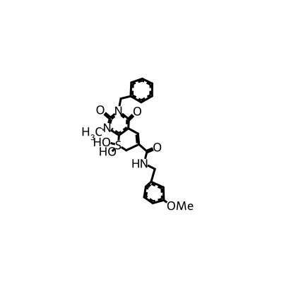 COc1cccc(CNC(=O)C2=Cc3c(n(C)c(=O)n(Cc4ccccc4)c3=O)S(O)(O)C2)c1